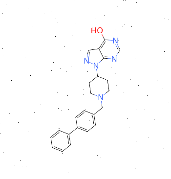 Oc1ncnc2c1cnn2C1CCN(Cc2ccc(-c3[c]cccc3)cc2)CC1